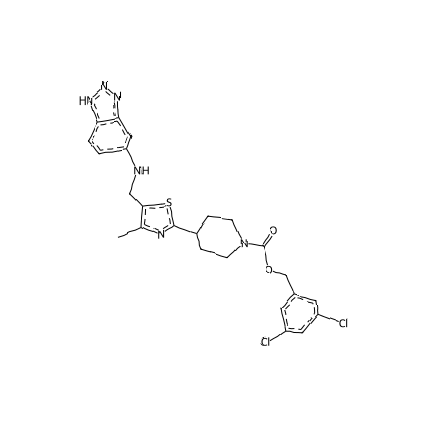 Cc1nc(C2CCN(C(=O)OCc3cc(Cl)cc(Cl)c3)CC2)sc1CNc1ccc2[nH]nnc2c1